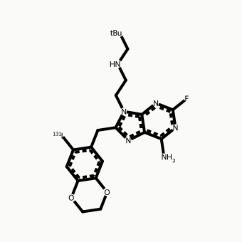 CC(C)(C)CNCCn1c(Cc2cc3c(cc2[131I])OCCO3)nc2c(N)nc(F)nc21